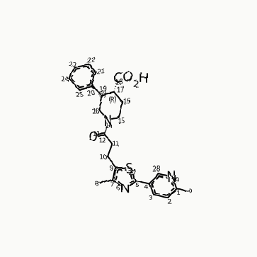 Cc1ccc(-c2nc(C)c(CCC(=O)N3CC[C@@H](C(=O)O)[C@H](c4ccccc4)C3)s2)cn1